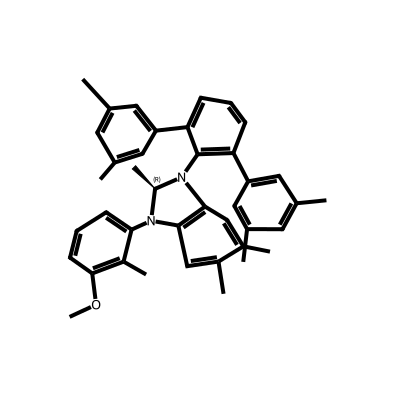 COc1cccc(N2c3cc(C)c(C)cc3N(c3c(-c4cc(C)cc(C)c4)cccc3-c3cc(C)cc(C)c3)[C@@H]2C)c1C